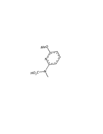 COc1cccc(N(C)C(=O)O)n1